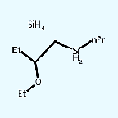 CCC[SiH2]CC(CC)OCC.[SiH4]